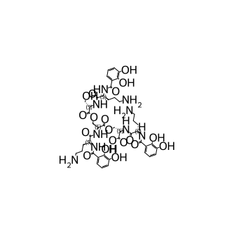 NCCC[C@H](NC(=O)c1cccc(O)c1O)C(=O)N[C@@H](COC(=O)[C@H](COC(=O)[C@H](CO)NC(=O)[C@H](CCCN)NC(=O)c1cccc(O)c1O)NC(=O)[C@H](CCCN)NC(=O)c1cccc(O)c1O)C(=O)O